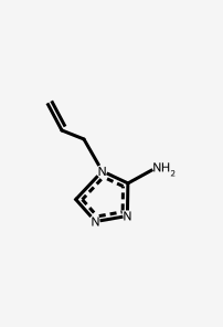 C=CCn1cnnc1N